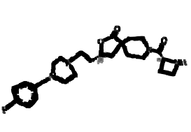 O=C([C@@H]1CCN1)N1CCC2(CC1)C[C@H](CCN1CCN(c3ccc(F)cc3)CC1)OC2=O